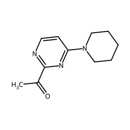 CC(=O)c1nccc(N2CCCCC2)n1